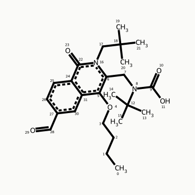 CCCCOc1c(CN(C(=O)O)C(C)(C)C)n(CC(C)(C)C)c(=O)c2ccc(C=O)cc12